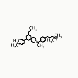 C=C/C=C\C(=C/C)C1CC(CCC)CC2(CCN(C(=C)c3ccc(CCCC(C)(C)F)cc3)CC2)C1